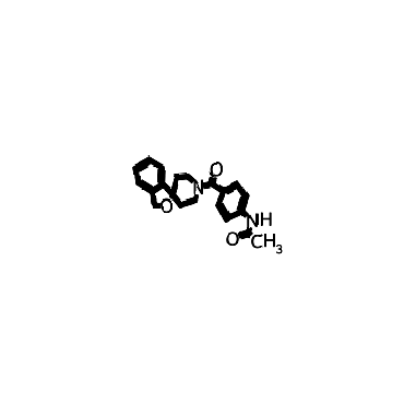 CC(=O)Nc1ccc(C(=O)N2CCC3(CC2)OCc2ccccc23)cc1